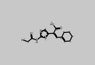 O=C(CCl)Nc1nc(C(=CC2=CCCCC2)C(=O)O)cs1